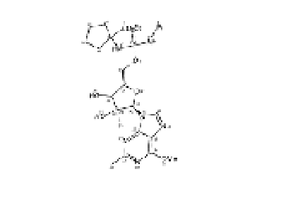 CCOC(=O)C1(NP(=O)(NC(C)C)OC[C@H]2O[C@@H](n3cnc4c(OC)nc(C)nc43)[C@@](C)(O)C2O)CCCC1